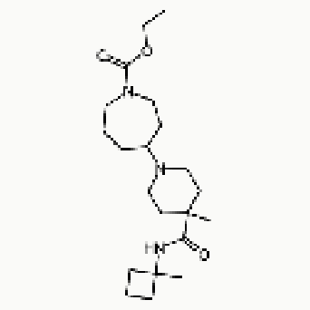 CCOC(=O)N1CCCC(N2CCC(C)(C(=O)NC3(C)CCC3)CC2)CC1